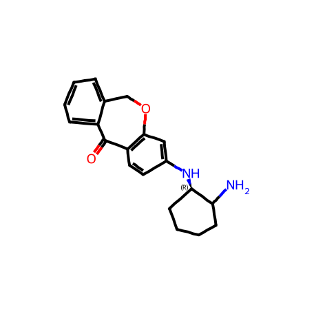 NC1CCCC[C@H]1Nc1ccc2c(c1)OCc1ccccc1C2=O